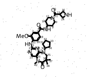 COc1cc(C(=O)NC2CCN(C(=O)C3CNC3)CC2)ccc1Nc1ncc2c(n1)N(C1CCCC1)CC(C)(C)C(=O)N2C